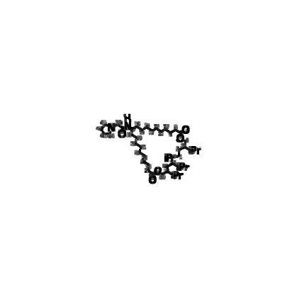 CC(C)CCC(COC(=O)CCCCCCCCCC(CCCCCCCCCC(=O)OCC(CCC(C)C)C(C)C)NC(=O)CN1CCCC1)C(C)C